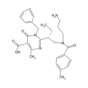 CC[C@H](CN(CCCN)C(=O)c1ccc(C)cc1)c1nc(C)c(C(=O)O)c(=O)n1Cc1ccccc1